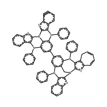 c1ccc2c3c(sc2c#1)B1c2sc4ccccc4c2N(c2ccccc2)c2cc(-c4cc5c6c(c4)N(c4ccccc4)c4c(oc7ccccc47)B(C6)c4oc6c(c4N5c4ccccc4)CC=CC=C6)cc(c21)N3c1ccccc1